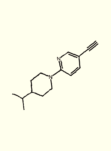 C#Cc1ccc(N2CCC(C(C)C)CC2)nc1